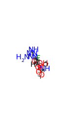 CNc1nc(N)nc2c1ncn2[C@@H]1O[C@@H]2C(OP(=S)(N[C@H](C)C(=O)OC(C)C)Oc3ccccc3)[C@]2(O)[C@@]1(C)F